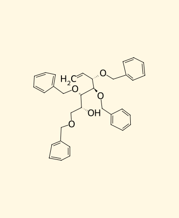 C=C[C@H](OCc1ccccc1)[C@@H](OCc1ccccc1)[C@@H](OCc1ccccc1)[C@H](O)COCc1ccccc1